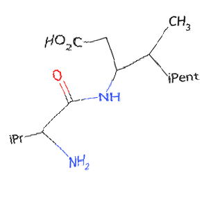 CCCC(C)C(C)C(CC(=O)O)NC(=O)C(N)C(C)C